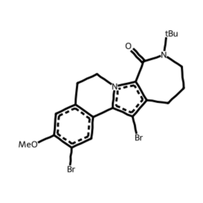 COc1cc2c(cc1Br)-c1c(Br)c3c(n1CC2)C(=O)N(C(C)(C)C)CCC3